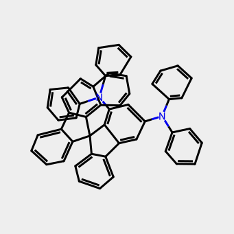 c1ccc(N(c2ccccc2)c2cc3c(c(N(c4ccccc4)c4ccccc4)c2)C2(c4ccccc4-3)c3ccccc3-c3ccc4ccccc4c32)cc1